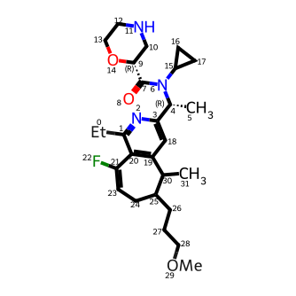 CCc1nc([C@@H](C)N(C(=O)[C@H]2CNCCO2)C2CC2)cc2c1C(F)=CCC(CCCOC)C2C